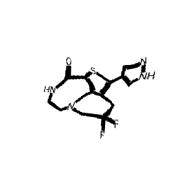 O=C1NCCN2CC(F)(F)Cc3c(-c4cn[nH]c4)sc1c32